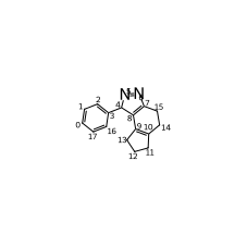 c1ccc(C2N=NC3=C2C2=C(CCC2)CC3)cc1